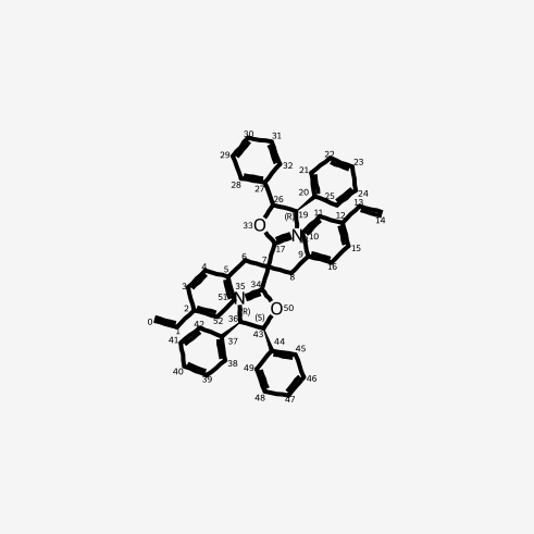 C=Cc1ccc(CC(Cc2ccc(C=C)cc2)(C2=N[C@H](c3ccccc3)C(c3ccccc3)O2)C2=N[C@H](c3ccccc3)[C@H](c3ccccc3)O2)cc1